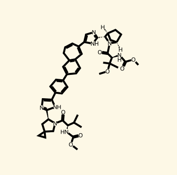 COC(=O)N[C@H](C(=O)N1CC2(CC2)C[C@H]1c1ncc(-c2ccc(-c3ccc4c(c3)CC=CC(c3cnc([C@@H]5[C@H]6CC[C@H](C6)N5C(=O)[C@@H](NC(=O)OC)C(C)(C)OC)[nH]3)=C4)cc2)[nH]1)C(C)C